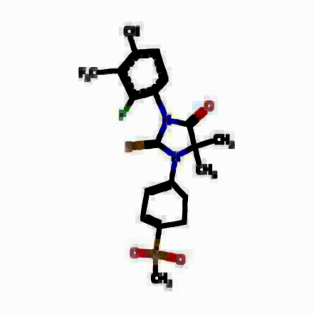 CC1(C)C(=O)N(c2ccc(C#N)c(C(F)(F)F)c2F)C(=S)N1C1=CC=C(S(C)(=O)=O)CC1